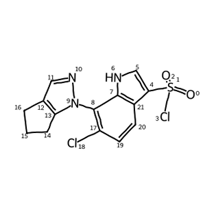 O=S(=O)(Cl)c1c[nH]c2c(-n3ncc4c3CCC4)c(Cl)ccc12